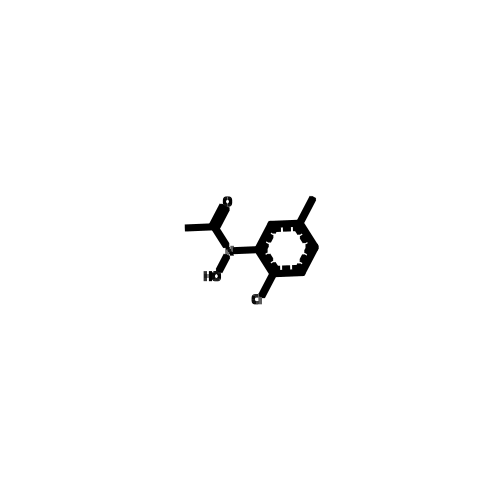 CC(=O)N(O)c1cc(C)ccc1Cl